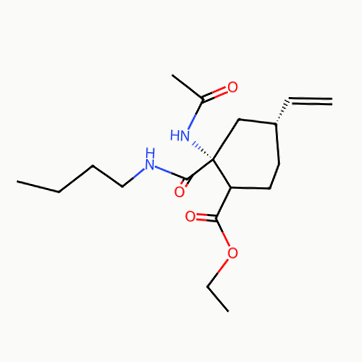 C=C[C@@H]1CCC(C(=O)OCC)[C@@](NC(C)=O)(C(=O)NCCCC)C1